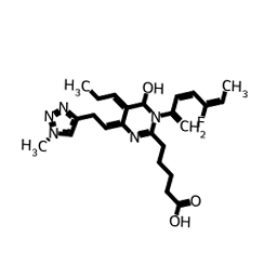 C=C(/C=C\C(F)=C/C)N1C(CCCCC(=O)O)=NC(=C/Cc2cn(C)nn2)/C(=C\CC)C1O